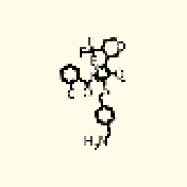 COc1c(C2COCCC2C(F)(F)F)nn(C(=O)c2ccccc2Cl)c1SCc1ccc(CN)cc1